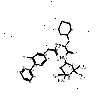 CC1(C)CC(NC(=O)[C@H](CC2CCCCC2)NC(=O)Cc2ccc(-c3ccccc3)c(F)c2)CC(C)(C)N1